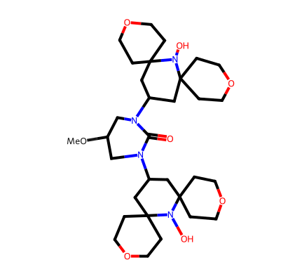 COC1CN(C2CC3(CCOCC3)N(O)C3(CCOCC3)C2)C(=O)N(C2CC3(CCOCC3)N(O)C3(CCOCC3)C2)C1